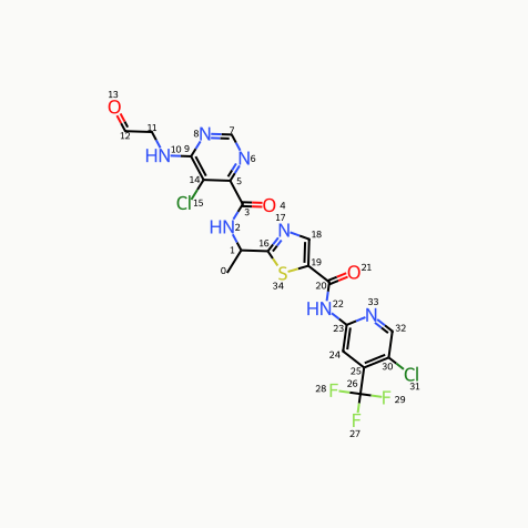 CC(NC(=O)c1ncnc(NCC=O)c1Cl)c1ncc(C(=O)Nc2cc(C(F)(F)F)c(Cl)cn2)s1